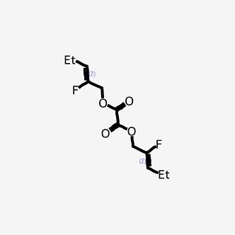 CC/C=C(\F)COC(=O)C(=O)OC/C(F)=C/CC